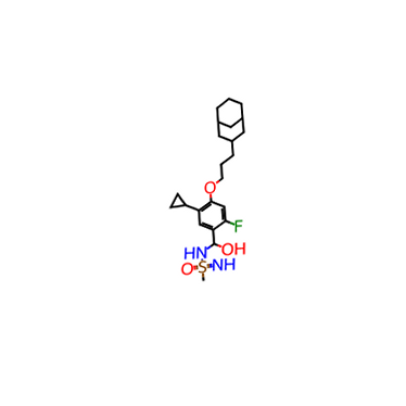 CS(=N)(=O)NC(O)c1cc(C2CC2)c(OCCCC2CC3CCCC(C2)C3)cc1F